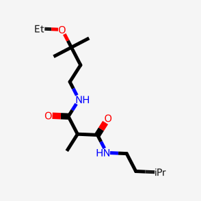 CCOC(C)(C)CCNC(=O)C(C)C(=O)NCCC(C)C